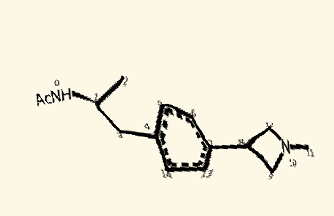 CC(=O)N[C@@H](C)Cc1ccc(C2CN(C)C2)cc1